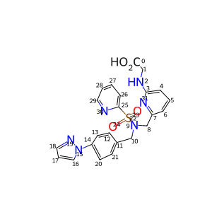 O=C(O)CNc1cccc(CN(Cc2ccc(-n3cccn3)cc2)S(=O)(=O)c2ccccn2)n1